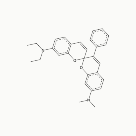 CCN(CC)c1ccc2c(c1)OC1(C=C2)Oc2cc(N(C)C)ccc2C=C1c1ccccc1